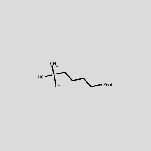 CCCCCCCCC[N+](C)(C)O